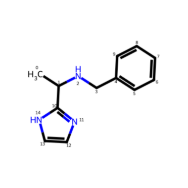 CC(NCc1ccccc1)c1ncc[nH]1